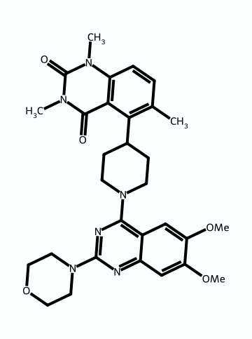 COc1cc2nc(N3CCOCC3)nc(N3CCC(c4c(C)ccc5c4c(=O)n(C)c(=O)n5C)CC3)c2cc1OC